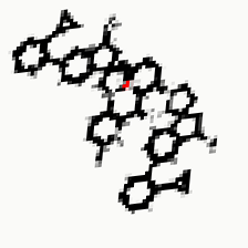 Cc1ccc(N2CCC3(CC(O)c4cc(-c5ccccc5C5CC5)ccc43)C2)c(C(=O)c2nc(C)ccc2N2CCC3(CC(O)c4cc(-c5ccccc5C5CC5)ccc43)C2)n1